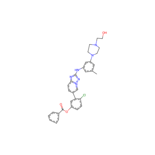 Cc1cc(Nc2nc3ccc(-c4cc(OC(=O)c5ccccc5)ccc4Cl)cn3n2)cc(N2CCN(CCO)CC2)c1